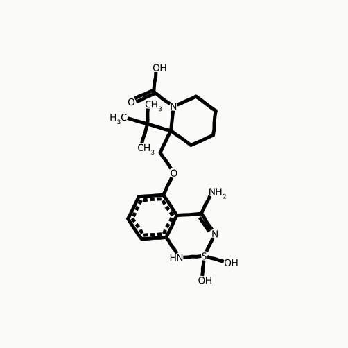 CC(C)(C)C1(COc2cccc3c2C(N)=NS(O)(O)N3)CCCCN1C(=O)O